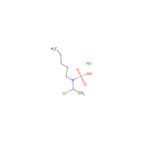 CCCCCN(C(C)Cl)S(=O)(=O)O.Cl